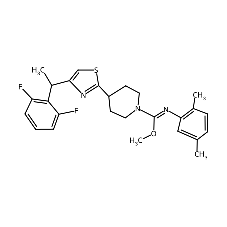 CO/C(=N\c1cc(C)ccc1C)N1CCC(c2nc(C(C)c3c(F)cccc3F)cs2)CC1